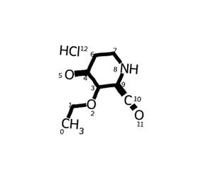 CCOC1C(=O)CCNC1=C=O.Cl